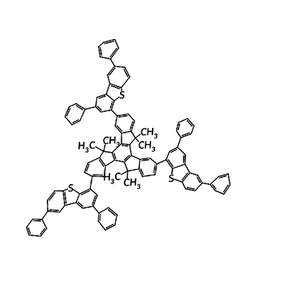 CC1(C)c2ccc(-c3cc(-c4ccccc4)cc4c3sc3ccc(-c5ccccc5)cc34)cc2-c2c1c1c(c3c2C(C)(C)c2ccc(-c4cc(-c5ccccc5)cc5c4sc4ccc(-c6ccccc6)cc45)cc2-3)C(C)(C)c2ccc(-c3cc(-c4ccccc4)cc4c3sc3ccc(-c5ccccc5)cc34)cc2-1